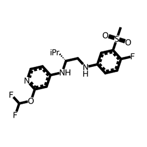 CC(C)[C@H](CNc1ccc(F)c(S(C)(=O)=O)c1)Nc1ccnc(OC(F)F)c1